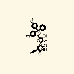 CC#Cc1cn(C2OC(COC(c3ccccc3)(c3ccc(OC)cc3)c3ccc(OC)cc3)[C@H](O)[C@@H]2F)c(=O)[nH]c1=O